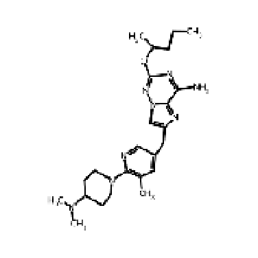 CCCC(C)Oc1nc(N)c2nc(Cc3cnc(N4CCC(N(C)C)CC4)c(C)c3)cn2n1